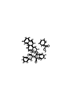 COC(=O)c1ccccn1.O=C(C(Cc1ccccc1)N1C(=O)c2ccccc2C1=O)[C@H]1CCCc2c1ccc1c2ccc2ccccc21